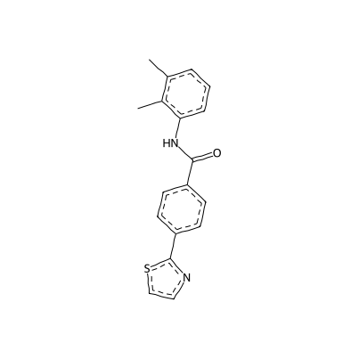 Cc1cccc(NC(=O)c2ccc(-c3nccs3)cc2)c1C